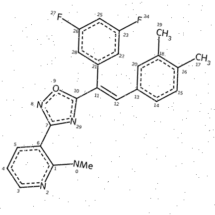 CNc1ncccc1-c1noc(C(=Cc2ccc(C)c(C)c2)c2cc(F)cc(F)c2)n1